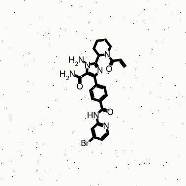 C=CC(=O)N1CCCCC1c1nc(-c2ccc(C(=O)Nc3cc(Br)ccn3)cc2)c(C(N)=O)n1N